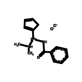 C[SiH](C)[Zr+2]([NH]C(=O)c1ccccc1)[C]1=CC=CC1.[Cl-].[Cl-]